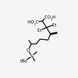 C=C(CCCC(C)O[Si](C)(C)C(C)(C)C)C(CC)(CC)C(C(=O)O)C(=O)O